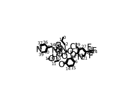 CCCN(C(=O)Oc1c(OCCOC)cccc1Oc1ncc(C(F)(F)F)cc1Cl)S(=O)(=O)NCc1ccncc1